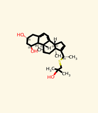 C[C@H](SCC(C)(C)O)C1=CC[C@H]2C3=CC=C4C[C@@H](O)C[C@H](O)[C@]4(C)[C@H]3CC[C@]12C